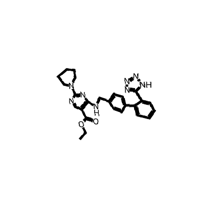 CCOC(=O)c1cnc(N2CCCCC2)nc1NCc1ccc(-c2ccccc2-c2nnn[nH]2)cc1